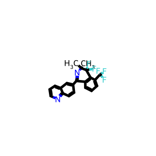 CC1(C)N=C(c2ccc3ncccc3c2)c2cccc(C(F)(F)F)c2C1(F)F